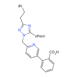 CCCCCc1nc(CCC(C)C)nn1Cc1ccc(-c2ccccc2C(=O)O)cn1